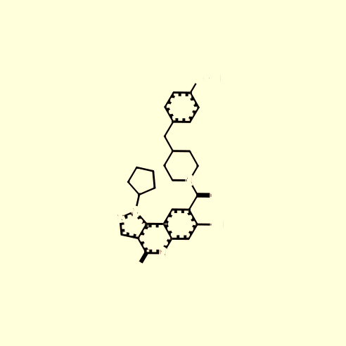 Cc1cc2[nH]c(=O)c3cnn(C4CCCC4)c3c2cc1C(=O)N1CCC(Cc2ccc(C(=O)O)cc2)CC1